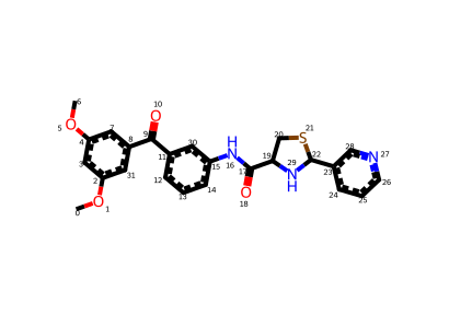 COc1cc(OC)cc(C(=O)c2cccc(NC(=O)C3CSC(c4cccnc4)N3)c2)c1